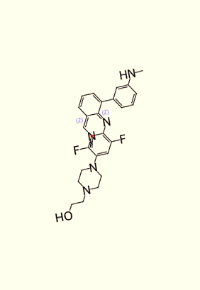 C=N/C=C1/C=CC=C(c2cccc(NC)c2)/C1=N/c1cc(F)c(N2CCN(CCO)CC2)cc1F